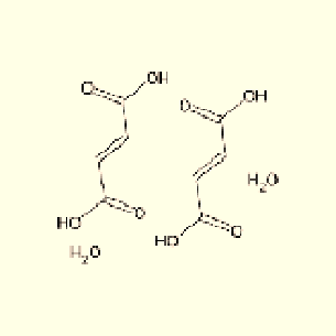 O.O.O=C(O)/C=C/C(=O)O.O=C(O)/C=C/C(=O)O